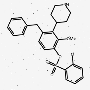 COc1c(OS(=O)(=O)c2ccccc2Cl)ccc(Cc2ccccc2)c1C1CCNCC1